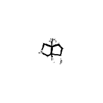 N[C@@]12CC[C@H](F)[C@@H]1C[N]C2